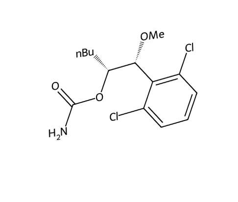 CCCC[C@@H](OC(N)=O)[C@H](OC)c1c(Cl)cccc1Cl